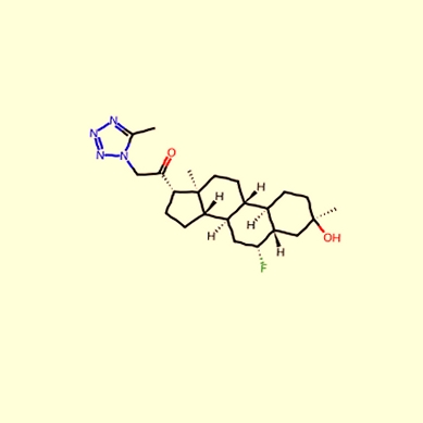 Cc1nnnn1CC(=O)[C@H]1CC[C@H]2[C@@H]3C[C@@H](F)[C@H]4C[C@](C)(O)CC[C@@H]4[C@H]3CC[C@]12C